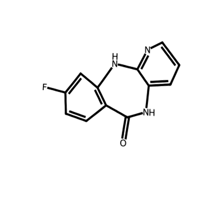 O=C1Nc2cccnc2Nc2cc(F)ccc21